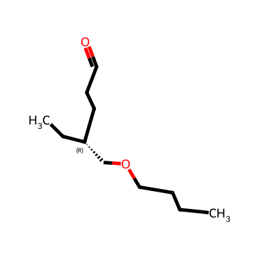 CCCCOC[C@H](CC)CCC=O